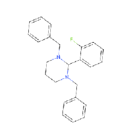 Fc1ccccc1C1N(Cc2ccccc2)CCCN1Cc1ccccc1